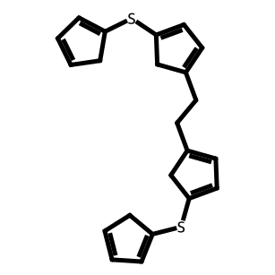 C1=CCC(SC2=CC=C(CCC3=CC=C(SC4=CC=CC4)C3)C2)=C1